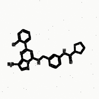 Bc1cnn2c(NCc3cccc(NC(=O)C4CCCC4)c3)cc(-c3ccccc3Cl)nc12